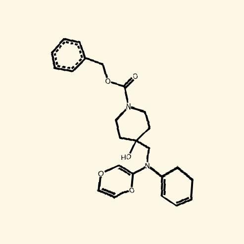 O=C(OCc1ccccc1)N1CCC(O)(CN(C2=CC=CCC2)C2=COC=CO2)CC1